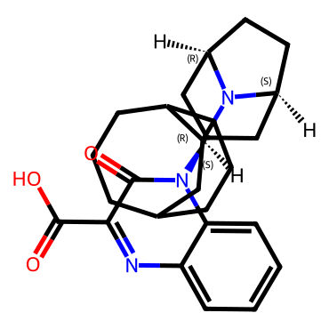 O=C(O)c1nc2ccccc2n([C@H]2C[C@H]3CC[C@@H](C2)N3[C@H]2CC3CCCC2CCC3)c1=O